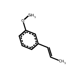 CC=Cc1cccc(O[SiH3])c1